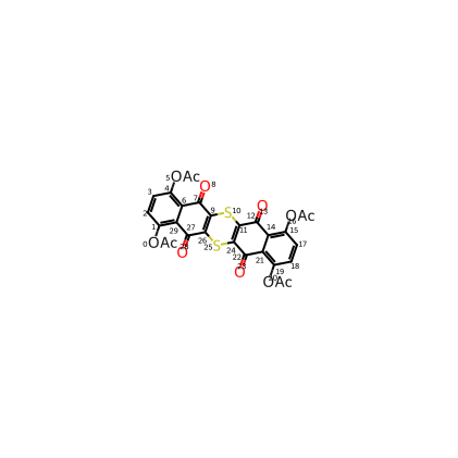 CC(=O)Oc1ccc(OC(C)=O)c2c(=O)c3sc4c(=O)c5c(OC(C)=O)ccc(OC(C)=O)c5c(=O)c4sc3c(=O)c12